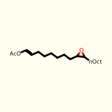 CCCCCCCCC1OC1CCCCCC/C=C/OC(C)=O